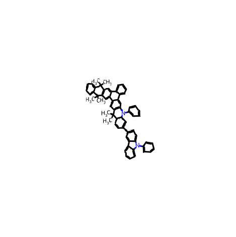 CC1(C)c2ccccc2C(C)(C)c2cc3c(cc21)c1ccccc1c1cc2c(cc13)C(C)(C)C1C=CC(c3ccc4c(c3)c3ccccc3n4-c3ccccc3)=CC1N2c1ccccc1